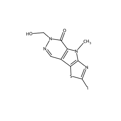 Cn1c2nc(I)sc2c2cnn(CO)c(=O)c21